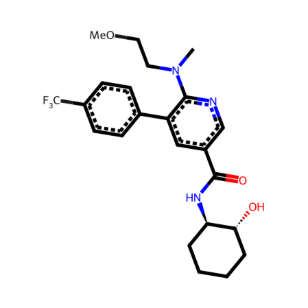 COCCN(C)c1ncc(C(=O)N[C@@H]2CCCC[C@H]2O)cc1-c1ccc(C(F)(F)F)cc1